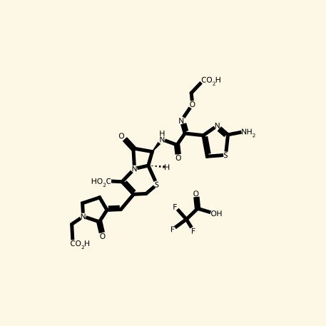 Nc1nc(C(=NOCC(=O)O)C(=O)N[C@@H]2C(=O)N3C(C(=O)O)=C(C=C4CCN(CC(=O)O)C4=O)CS[C@H]23)cs1.O=C(O)C(F)(F)F